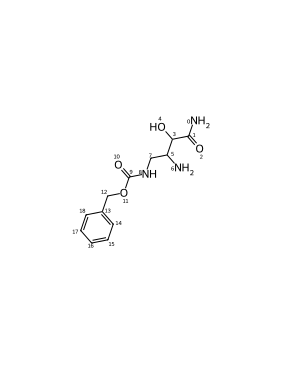 NC(=O)C(O)C(N)CNC(=O)OCc1ccccc1